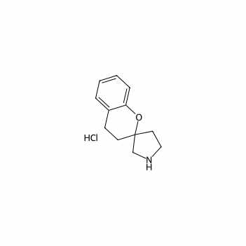 Cl.c1ccc2c(c1)CCC1(CCNC1)O2